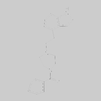 O=C(c1ccccc1)N1CCN(CCc2cccc3[nH]ccc23)CC1